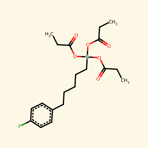 CCC(=O)O[Si](CCCCCc1ccc(F)cc1)(OC(=O)CC)OC(=O)CC